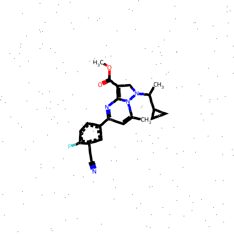 COC(=O)C1=C2N=C(c3ccc(F)c(C#N)c3)C=C(C)N2N(C(C)C2CC2)C1